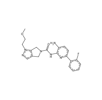 COCCn1ncc2c1CN(C(=O)Nc1nc(-c3ccccc3F)ccc1N)C2